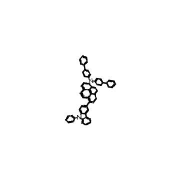 c1ccc(-c2ccc(N(c3ccc(-c4ccccc4)cc3)c3ccc4ccc5c(-c6ccc7c(c6)c6ccccc6n7-c6ccccc6)ccc6ccc3c4c65)cc2)cc1